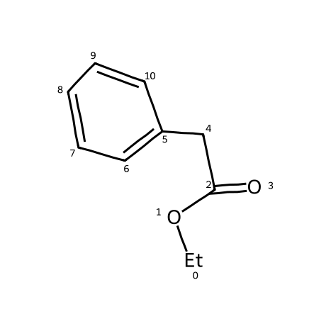 [CH2]COC(=O)Cc1ccccc1